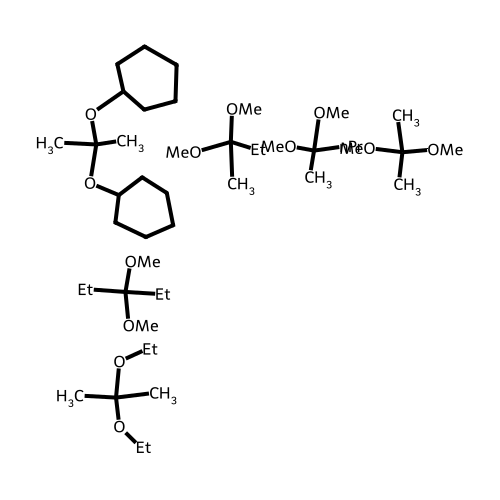 CC(C)(OC1CCCCC1)OC1CCCCC1.CCC(C)(OC)OC.CCC(CC)(OC)OC.CCCC(C)(OC)OC.CCOC(C)(C)OCC.COC(C)(C)OC